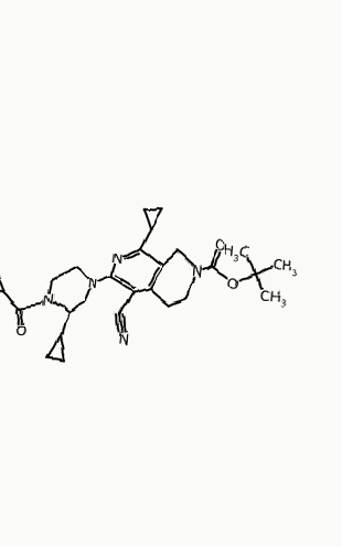 CC(C)(C)OC(=O)N1CCc2c(C#N)c(N3CCN(C(=O)C4CC4)C(C4CC4)C3)nc(C3CC3)c2C1